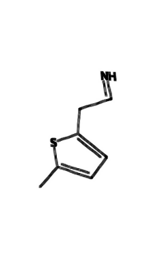 Cc1ccc(CC=N)s1